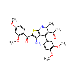 COc1ccc(C(=O)c2sc3nc(C)c(C(C)=O)c(-c4ccc(OC)c(OC)c4)c3c2N)c(OC)c1